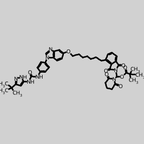 CC(C)(C)C(=O)OC(N1C(=O)CCCC1=O)N1C(=O)c2cccc(CCCCCCCOc3ccc4c(c3)ncn4-c3ccc(NC(=O)Nc4cc(C(C)(C)C)n[nH]4)cc3)c2C1=O